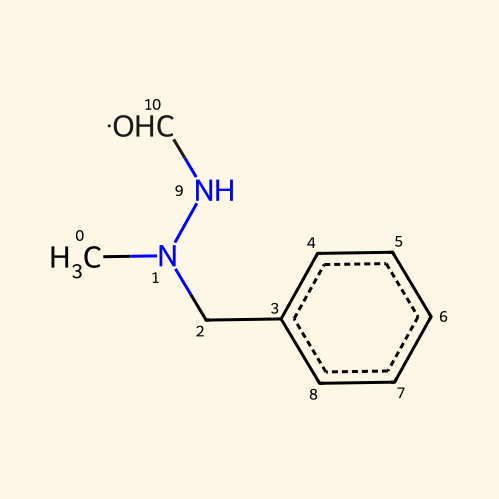 CN(Cc1ccccc1)N[C]=O